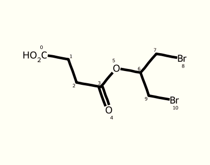 O=C(O)CCC(=O)OC(CBr)CBr